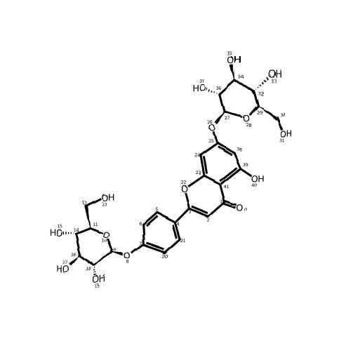 O=c1cc(-c2ccc(O[C@@H]3O[C@H](CO)[C@@H](O)[C@H](O)[C@H]3O)cc2)oc2cc(O[C@@H]3O[C@H](CO)[C@@H](O)[C@H](O)[C@H]3O)cc(O)c12